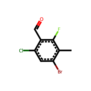 Cc1c(Br)cc(Cl)c(C=O)c1F